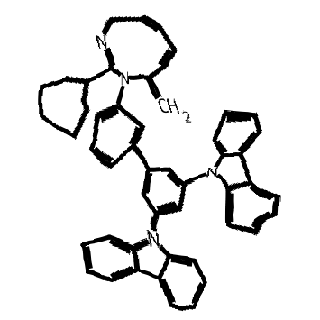 C=C1/C=C\C=C/C/N=C(/C2CCCCC2)N1c1cccc(-c2cc(-n3c4ccccc4c4ccccc43)cc(-n3c4ccccc4c4ccccc43)c2)c1